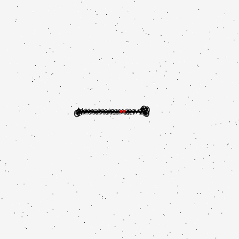 CO[Si](CCCCCCCCCCCCCCCCCCCCCCCCCCCCCCCCCCCCCN=C=O)(OC)OC